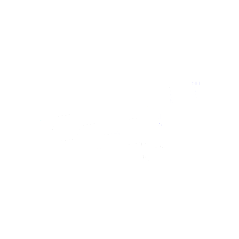 CC1(C)CN(C(=O)CC2CCC(F)(F)CC2)Cc2sc(N3CCNCC3)nc21